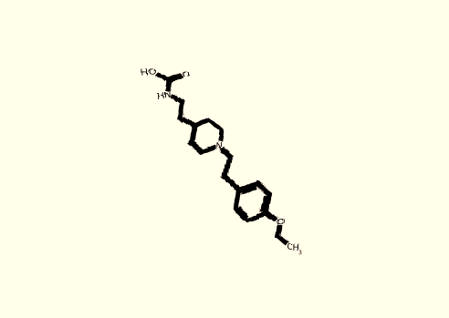 CCOc1ccc(CCN2CCC(CCNC(=O)O)CC2)cc1